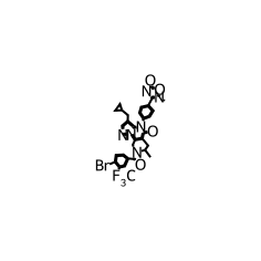 CC1Cc2c(n3ncc(CC4CC4)c3n(-c3ccc(-c4nc(=O)on4C)cc3)c2=O)CN1C(=O)c1ccc(Br)c(C(F)(F)F)c1